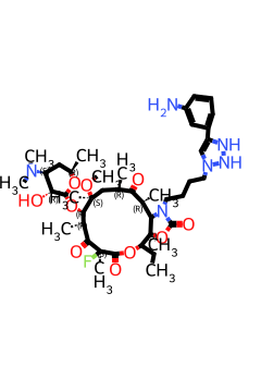 CCC1OC(=O)[C@@](C)(F)C(=O)[C@H](C)[C@@H](OC2O[C@H](C)C[C@H](N(C)C)[C@H]2O)[C@@](C)(OC)C[C@@H](C)C(=O)[C@H](C)C2N(CCCCN3C=C(c4cccc(N)c4)NN3)C(=O)O[C@]12C